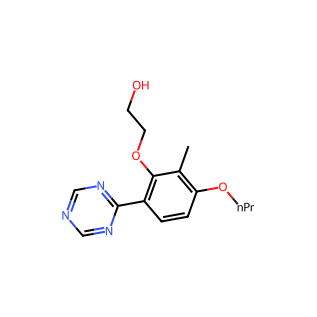 CCCOc1ccc(-c2ncncn2)c(OCCO)c1C